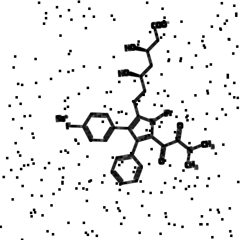 CC(C)n1c(CC[C@@H](O)C[C@@H](O)CC(=O)[O-])c(-c2ccc(F)cc2)c(-c2ccccc2)c1C(=O)C(=O)N(C)C.[Na+]